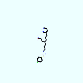 NC(=O)CCC(CCCCNS(=O)(=O)c1ccc(Cl)cc1)CCCc1cccnc1